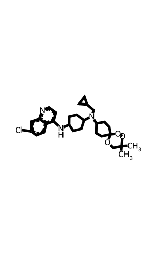 CC1(C)COC2(CCC(N(CC3CC3)C3CCC(Nc4ccnc5cc(Cl)ccc45)CC3)CC2)OO1